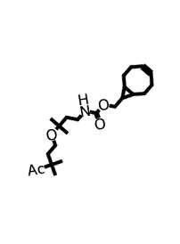 CC(=O)C(C)(C)CCOC(C)(C)CCNC(=O)OCC1C2CCC#CCCC21